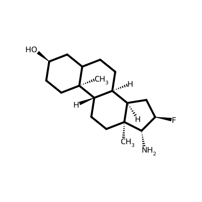 C[C@]12CC[C@H]3[C@@H](CCC4C[C@H](O)CC[C@@]43C)[C@H]1C[C@@H](F)[C@@H]2N